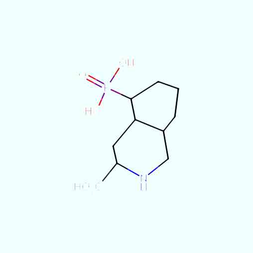 O=C(O)C1CC2C(CCCC2P(=O)(O)O)CN1